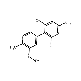 Cc1ccc(-c2c(Cl)cc(C(F)(F)F)cc2Cl)cc1SC(C)C